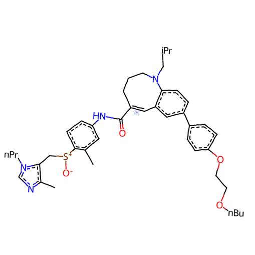 CCCCOCCOc1ccc(-c2ccc3c(c2)/C=C(/C(=O)Nc2ccc([S+]([O-])Cc4c(C)ncn4CCC)c(C)c2)CCCN3CC(C)C)cc1